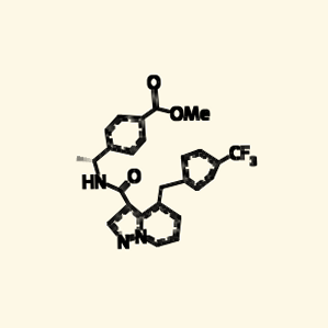 COC(=O)c1ccc([C@@H](C)NC(=O)c2cnn3cccc(Cc4ccc(C(F)(F)F)cc4)c23)cc1